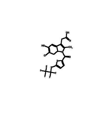 CC1=C(CC(=O)O)C2=CC(O)=C(Cl)CC2N1C(=O)c1ccc(SC(F)(F)C(F)(F)F)s1